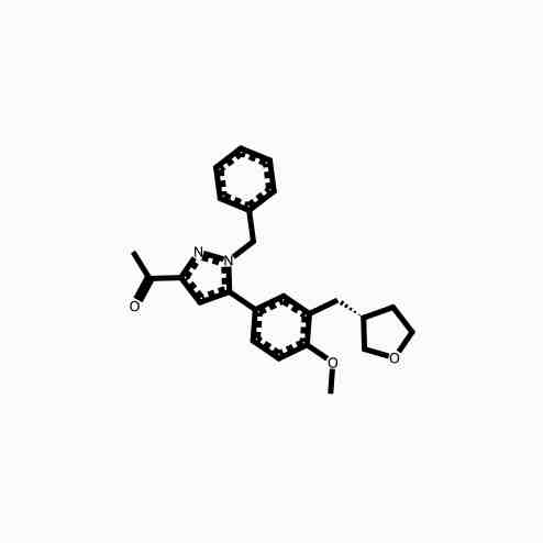 COc1ccc(-c2cc(C(C)=O)nn2Cc2ccccc2)cc1C[C@@H]1CCOC1